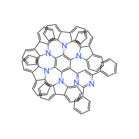 c1ccc(-c2cc(-c3c(-n4c5ccccc5c5ccccc54)c(-n4c5ccccc5c5ccccc54)c(-n4c5ccccc5c5ccccc54)c(-n4c5ccccc5c5ccccc54)c3-n3c4ccccc4c4ccccc43)nc(-c3ccccc3)n2)cc1